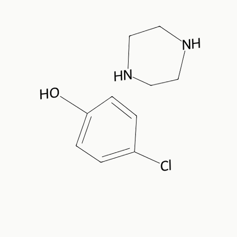 C1CNCCN1.Oc1ccc(Cl)cc1